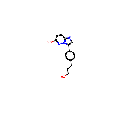 OCCCc1ccc(-c2cnc3ccc(O)nn23)cc1